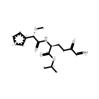 CO[C@H](C(=O)N[C@@H](CCC(=O)C=N)C(=O)OC(C)C)c1ccsc1